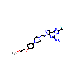 C=C(F)c1nc2c3cnn(CCN4CCN(c5ccc(OCCOC)cc5)CC4)c3nc(N)n2n1